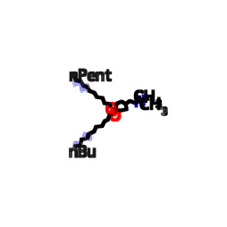 CCCC/C=C/C/C=C/CCCCCCOC1(OCCCCCC/C=C/C=C/CCCCC)CCC(CCN(C)C)CC1